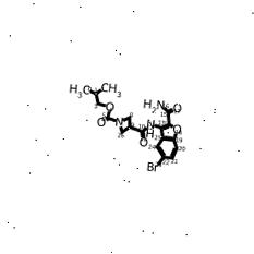 CC(C)COC(=O)N1CC(C(=O)Nc2c(C(N)=O)oc3ccc(Br)cc23)C1